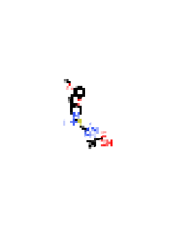 CCOc1cccc2c1CCC1(CCN(C(=N)SCc3nnn(C(C(=O)O)C(C)(C)C)n3)CC1)O2